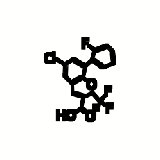 O=C(O)C1=Cc2cc(Cl)cc(-c3ccccc3F)c2OC1C(F)(F)F